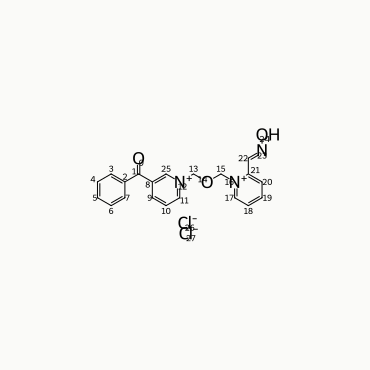 O=C(c1ccccc1)c1ccc[n+](COC[n+]2ccccc2C=NO)c1.[Cl-].[Cl-]